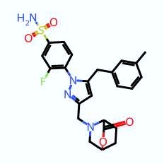 Cc1cccc(Cc2cc(CN3CC4CCC3C(=O)O4)nn2-c2ccc(S(N)(=O)=O)cc2F)c1